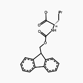 CC(C)C[C@H](NC(=O)OCC1c2ccccc2-c2ccccc21)C([O])=O